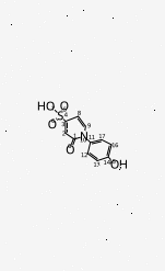 O=c1cc(S(=O)(=O)O)ccn1-c1ccc(O)cc1